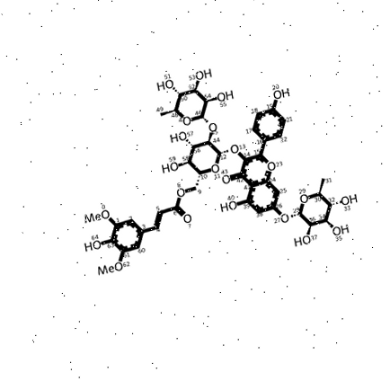 COc1cc(C=CC(=O)OC[C@H]2O[C@@H](Oc3c(-c4ccc(O)cc4)oc4cc(O[C@@H]5O[C@@H](C)[C@H](O)[C@@H](O)[C@H]5O)cc(O)c4c3=O)[C@H](O[C@@H]3O[C@@H](C)[C@H](O)[C@@H](O)[C@H]3O)[C@@H](O)[C@@H]2O)cc(OC)c1O